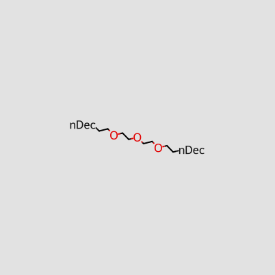 CCCCCCCCCCCCOCCOCCOCCCCCCCCCCCC